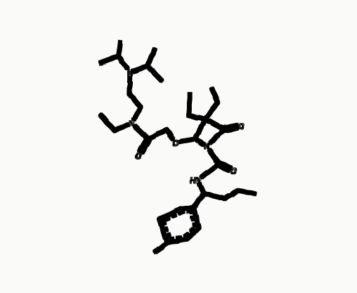 CCCC(NC(=O)N1C(=O)C(CC)(CC)C1OCC(=O)N(CC)CCN(C(C)C)C(C)C)c1ccc(C)cc1